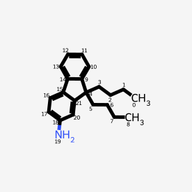 CCCCC1(CCCC)c2ccccc2-c2ccc(N)cc21